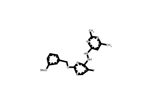 COc1cccc(COc2ncc(F)c(NNc3cc(C)nc(C)n3)n2)c1